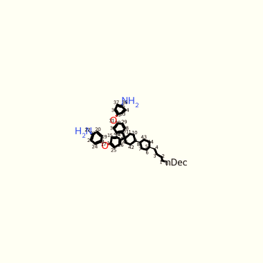 CCCCCCCCCCCCCC[C@H]1CC[C@@H](C2CCC(c3ccc(Oc4ccc(N)cc4)cc3)(c3ccc(Oc4ccc(N)cc4)cc3)CC2)CC1